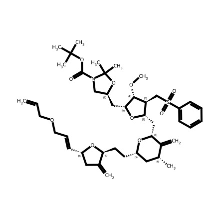 C=CCOCC=C[C@H]1CC(=C)[C@H](CC[C@H]2C[C@@H](C)C(=C)[C@@H](C[C@@H]3O[C@H](C[C@H]4CN(C(=O)OC(C)(C)C)C(C)(C)O4)[C@H](OC)[C@H]3CS(=O)(=O)c3ccccc3)O2)O1